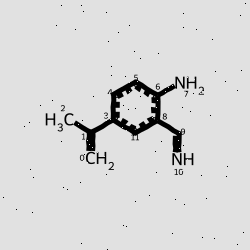 C=C(C)c1ccc(N)c(C=N)c1